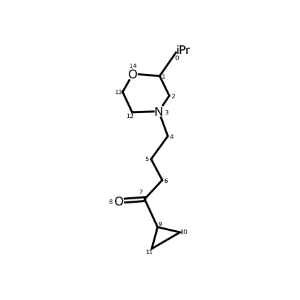 CC(C)C1CN(CCCC(=O)C2CC2)CCO1